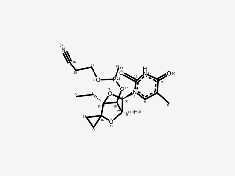 CC[C@@]12O[C@@H](n3cc(C)c(=O)[nH]c3=O)[C@@H](OC13CC3)C2OP(C)OCCC#N